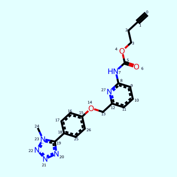 C#CCCOC(=O)Nc1cccc(COc2ccc(-c3nnnn3C)cc2)n1